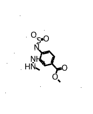 CNN.COC(=O)c1ccc(N=S(=O)=O)cc1